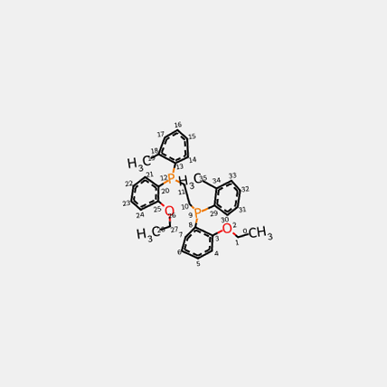 CCOc1ccccc1P(CCP(c1ccccc1C)c1ccccc1OCC)c1ccccc1C